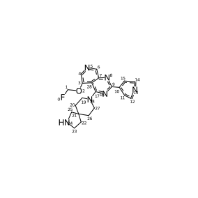 FCOc1cncc2nc(-c3ccncc3)nc(N3CCC4(CCNC4)CC3)c12